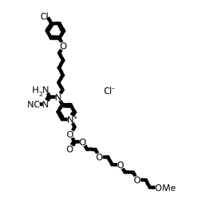 COCCOCCOCCOCCOC(=O)OC[n+]1ccc(N(CCCCCCOc2ccc(Cl)cc2)C(N)=NC#N)cc1.[Cl-]